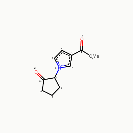 COC(=O)c1ccn(C2CCCC2=O)c1